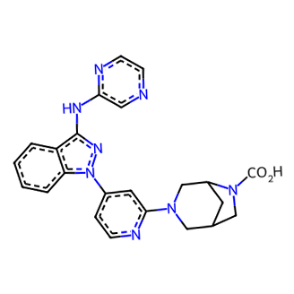 O=C(O)N1CC2CC1CN(c1cc(-n3nc(Nc4cnccn4)c4ccccc43)ccn1)C2